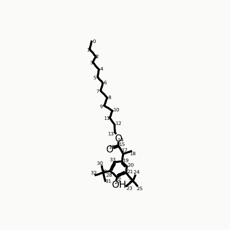 CCCCCCCCCCCCCCOC(=O)C(C)c1cc(C(C)(C)C)c(O)c(C(C)(C)C)c1